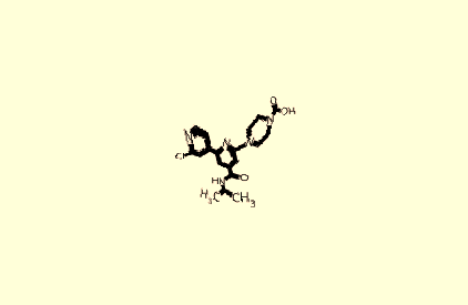 CC(C)NC(=O)c1cc(-c2ccnc(Cl)c2)nc(N2CCN(C(=O)O)CC2)c1